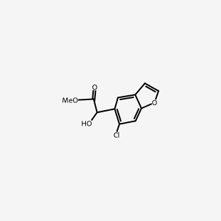 COC(=O)C(O)c1cc2ccoc2cc1Cl